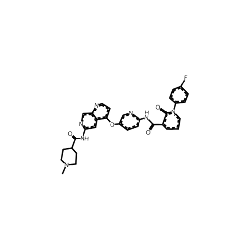 CN1CCC(C(=O)Nc2cc3c(Oc4ccc(NC(=O)c5cccn(-c6ccc(F)cc6)c5=O)nc4)ccnc3cn2)CC1